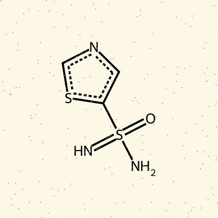 N=S(N)(=O)c1cncs1